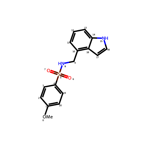 COc1ccc(S(=O)(=O)NCc2cccc3[nH]ccc23)cc1